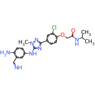 CC(C)NC(=O)COc1ccc(-c2nc(Nc3ccc(N)c(C=N)c3)n(C)n2)cc1Cl